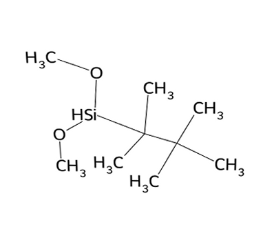 CO[SiH](OC)C(C)(C)C(C)(C)C